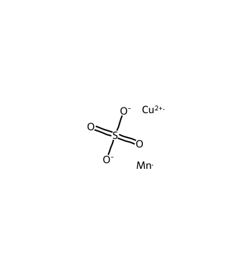 O=S(=O)([O-])[O-].[Cu+2].[Mn]